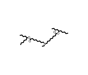 CCCCCC(CCCC)OC(=O)CCCCCCCN(CC)CCCCCCCC(=O)OC(CCCC)CCCCC